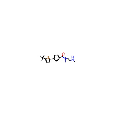 CNCCNC(=O)c1ccc(-c2ccc(C(C)(C)C)s2)cc1